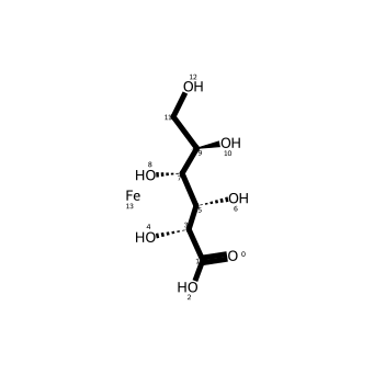 O=C(O)[C@H](O)[C@@H](O)[C@H](O)[C@H](O)CO.[Fe]